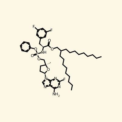 CCCCCCCCCC(CCCCCCCCC)COC(=O)[C@H](Cc1cc(F)cc(F)c1)NP(=O)(OC[C@]1(C)CC[C@H](n2cnc3c(N)nc(F)nc32)O1)Oc1ccccc1